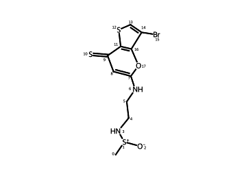 C[S+]([O-])NCCNc1cc(=S)c2scc(Br)c2o1